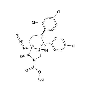 CC(C)(C)OC(=O)N1C[C@H]2[C@@H](c3ccc(Cl)cc3)[C@H](c3ccc(Cl)cc3Cl)CC[C@@]2(N=[N+]=[N-])C1=O